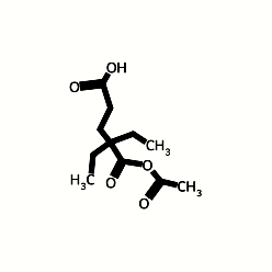 CCC(CC)(CCC(=O)O)C(=O)OC(C)=O